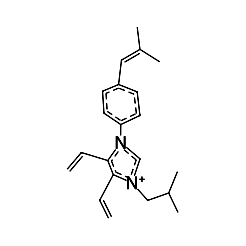 C=Cc1c(C=C)[n+](CC(C)C)cn1-c1ccc(C=C(C)C)cc1